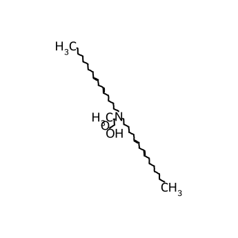 CCCCCCCC/C=C/C/C=C/CCCCCN(CCCCC/C=C/C/C=C/CCCCCCCC)C(C)CC(=O)O